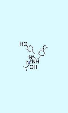 COc1ccc(Cc2[nH]/c(=N\C(O)C(C)C)n(C)c2Cc2ccc(O)cc2)cc1